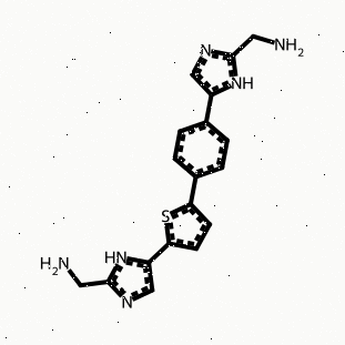 NCc1ncc(-c2ccc(-c3ccc(-c4cnc(CN)[nH]4)s3)cc2)[nH]1